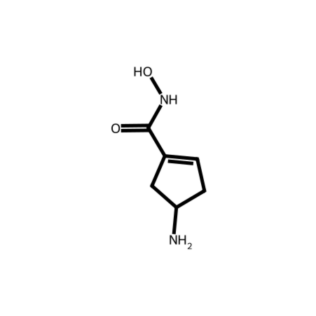 NC1CC=C(C(=O)NO)C1